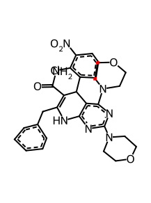 NC(=O)C1=C(Cc2ccccc2)Nc2nc(N3CCOCC3)nc(N3CCOCC3)c2C1c1cccc([N+](=O)[O-])c1Cl